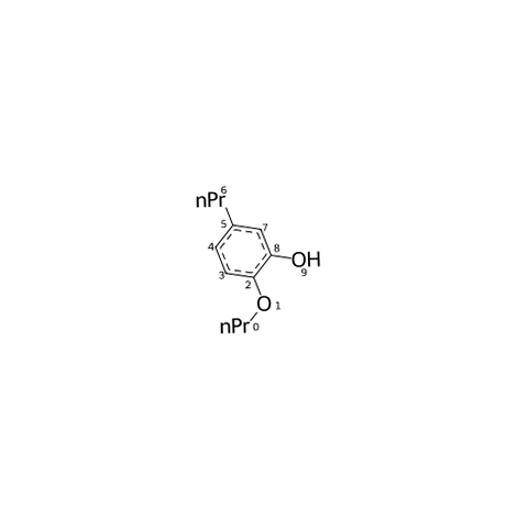 CCCOc1ccc(CCC)cc1O